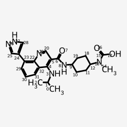 CC(C)Nc1c(C(=O)NC2CCC(N(C)C(=O)O)CC2)cnc2c(-c3cn[nH]c3)cccc12